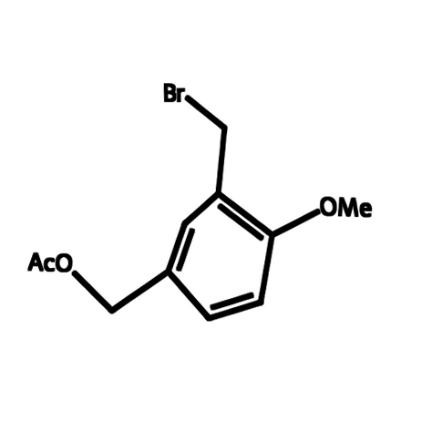 COc1ccc(COC(C)=O)cc1CBr